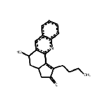 CCCCC1=C2c3nc4ccccc4cc3C(O)CC2CC1=O